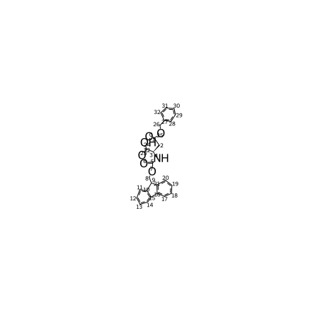 O=C(C[C@@H](NC(=O)OCC1c2ccccc2-c2ccccc21)C(=O)O)OCc1ccccc1